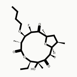 CCCCO[C@@H]1[C@@H](C)C(=O)O[C@H](CC)[C@@](C)(O)C(=O)[C@H](F)[C@H]2O[C@](C)(C[C@H]2C)C(=O)[C@@H]1F